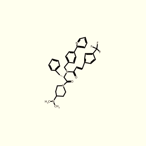 CN(C)C1CCN(C(=O)[C@H](Cc2ccccc2)N(Cc2ccc(-c3ccccn3)cc2)C(=O)C=Cc2ccc(C(F)(F)F)cc2)CC1